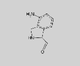 Nc1cccc2c1CNC2C=O